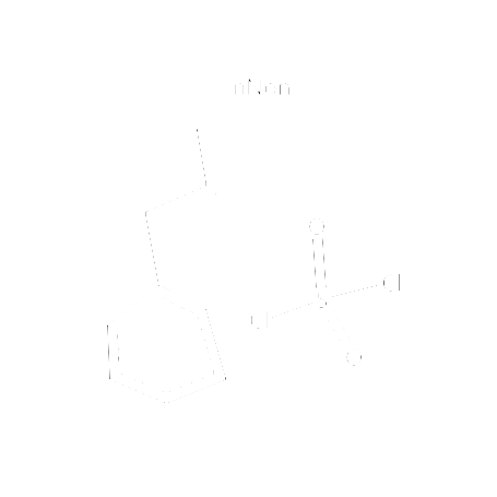 CCCCCCCCCCCCc1ccccc1.O=S(=O)(Cl)Cl